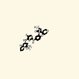 Cn1nc2n(c1=O)-c1cc(Nc3ncc(F)c(N[C@@H]4C[C@@H]5CCCN5C(C)(C)C4)n3)ccc1OC21CCOCC1